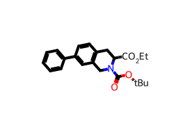 CCOC(=O)C1Cc2ccc(-c3ccccc3)cc2CN1C(=O)OC(C)(C)C